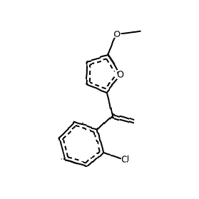 C=C(c1ccc(OC)o1)c1cc[c]cc1Cl